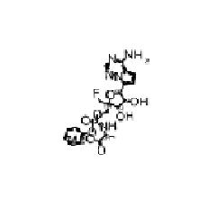 COC(=O)[C@H](C)NP(=O)(OC[C@@]1(CF)O[C@@H](c2ccc3c(N)ncnn23)[C@H](O)[C@@H]1O)Oc1ccccc1